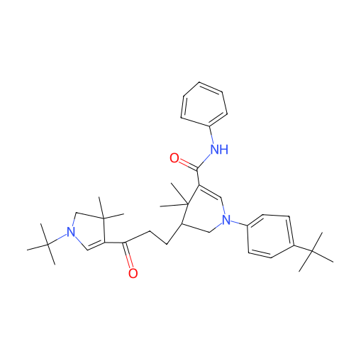 CC1(C)CN(C(C)(C)C)C=C1C(=O)CCC1CN(c2ccc(C(C)(C)C)cc2)C=C(C(=O)Nc2ccccc2)C1(C)C